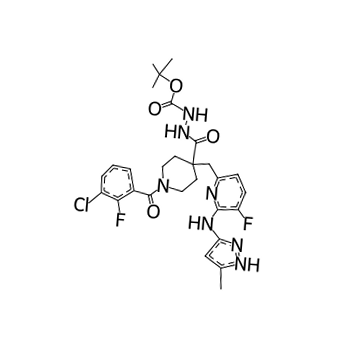 Cc1cc(Nc2nc(CC3(C(=O)NNC(=O)OC(C)(C)C)CCN(C(=O)c4cccc(Cl)c4F)CC3)ccc2F)n[nH]1